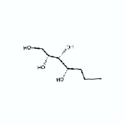 CCC[C@H](O)[C@@H](O)[C@H](O)CO